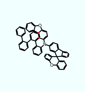 c1ccc(-c2ccccc2-c2ccccc2-c2ccccc2N(c2ccc3c(c2)C2(c4ccccc4Oc4ccccc42)c2ccccc2-3)c2ccc3oc4ccccc4c3c2)cc1